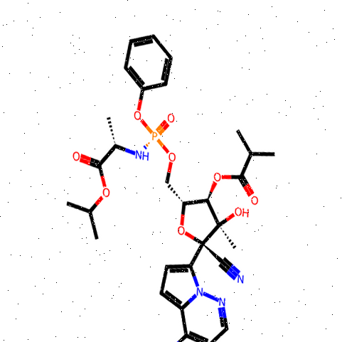 CC(C)OC(=O)[C@H](C)N[P@](=O)(OC[C@H]1O[C@@](C#N)(c2ccc3c(N)ccnn23)[C@](C)(O)[C@@H]1OC(=O)C(C)C)Oc1ccccc1